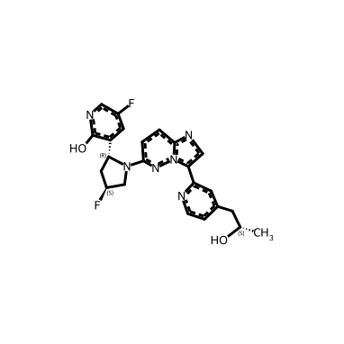 C[C@H](O)Cc1ccnc(-c2cnc3ccc(N4C[C@@H](F)C[C@@H]4c4cc(F)cnc4O)nn23)c1